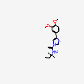 C=C(NC(C)(C)CC)n1cnc(-c2ccc(OC)c(OC)c2)c1